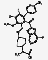 COc1c(Cl)c(F)c(-c2ccc(C)nc2)c(C(=O)c2cc3cccc(F)c3s2)c1CNC1CCC(N(C)C(=O)O)CC1